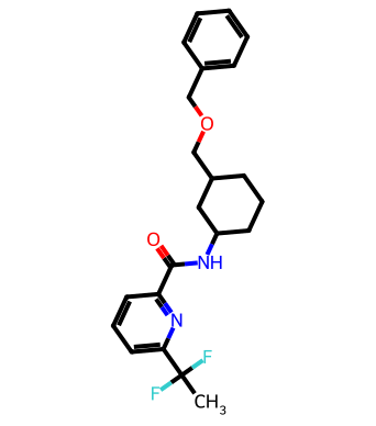 CC(F)(F)c1cccc(C(=O)NC2CCCC(COCc3ccccc3)C2)n1